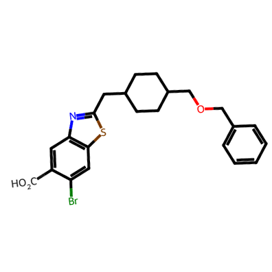 O=C(O)c1cc2nc(CC3CCC(COCc4ccccc4)CC3)sc2cc1Br